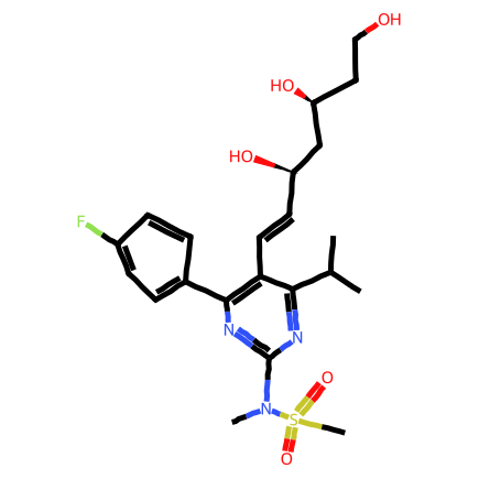 CC(C)c1nc(N(C)S(C)(=O)=O)nc(-c2ccc(F)cc2)c1/C=C/[C@@H](O)C[C@@H](O)CCO